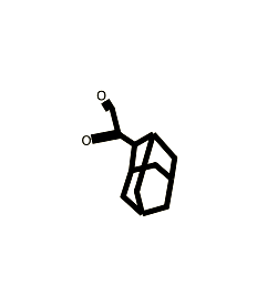 O=CC(=O)C1C2CC3CC(C2)CC1C3